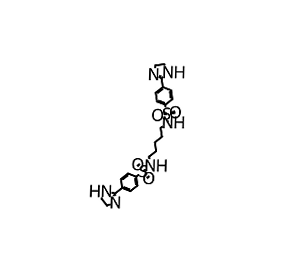 O=S(=O)(NCCCCCNS(=O)(=O)c1ccc(C2=NCCN2)cc1)c1ccc(C2=NCCN2)cc1